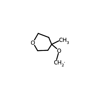 [CH2]OC1(C)CCOCC1